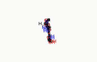 C[C@@H]1CN(C(=O)c2ccccc2)CCN1C(=O)C(=O)c1c[nH]c2c(NC(=O)NCCCCCCNC(=O)Nc3cccc(B(O)O)c3)cccc12